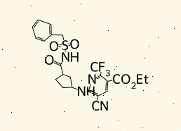 CCOC(=O)c1cc(C#N)c(NC2CCC(C(=O)NS(=O)(=O)Cc3ccccc3)C2)nc1C(F)(F)F